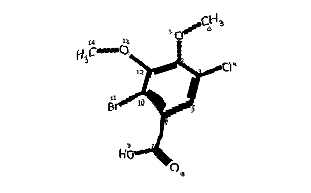 COc1c(Cl)cc(C(=O)O)c(Br)c1OC